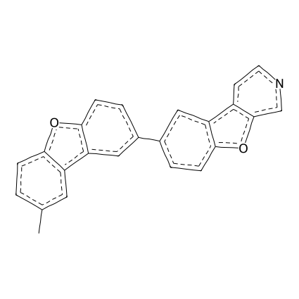 Cc1ccc2oc3ccc(-c4ccc5oc6cnccc6c5c4)cc3c2c1